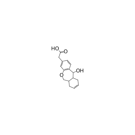 O=C(O)Cc1ccc2c(c1)OCC1CC=CCC1C2O